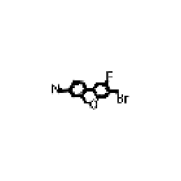 N#Cc1ccc2c(c1)COc1cc(CBr)c(F)cc1-2